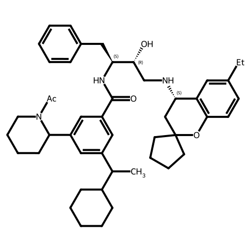 CCc1ccc2c(c1)[C@@H](NC[C@@H](O)[C@H](Cc1ccccc1)NC(=O)c1cc(C(C)C3CCCCC3)cc(C3CCCCN3C(C)=O)c1)CC1(CCCC1)O2